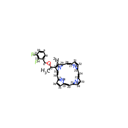 [2H]C1=C(C(C)OCc2cccc(F)c2F)C2=CC3=NC(=CC4=NC(=CC5=NC(=CC1=N2)C=C5)C=C4)C=C3